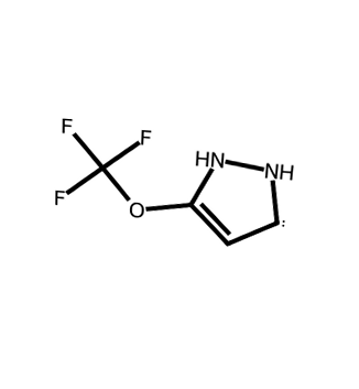 FC(F)(F)OC1=C[C]NN1